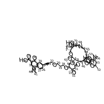 CC[C@H]1OC(=O)[C@H](C)[C@@H](O[C@H]2C[C@@](C)(OC)[C@@H](OCCCOCC#Cc3ccc4c(c3)c(=O)c(C(=O)O)cn4N(C)C)[C@H](C)O2)[C@H](C)[C@@H](O[C@@H]2O[C@H](C)C[C@H](N(C)C)[C@H]2O)[C@](C)(O)C[C@@H](C)CN(C)[C@H](C)[C@@H](O)[C@]1(C)O